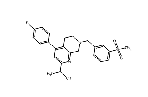 CS(=O)(=O)c1cccc(CN2CCc3c(-c4ccc(F)cc4)cc(C(N)O)nc3C2)c1